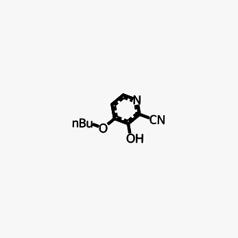 CCCCOc1ccnc(C#N)c1O